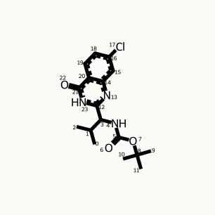 CC(C)C(NC(=O)OC(C)(C)C)c1nc2cc(Cl)ccc2c(=O)[nH]1